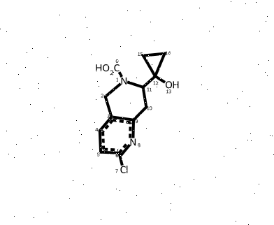 O=C(O)N1Cc2ccc(Cl)nc2CC1C1(O)CC1